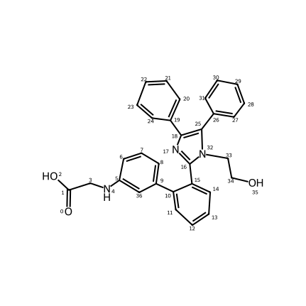 O=C(O)CNc1cccc(-c2ccccc2-c2nc(-c3ccccc3)c(-c3ccccc3)n2CCO)c1